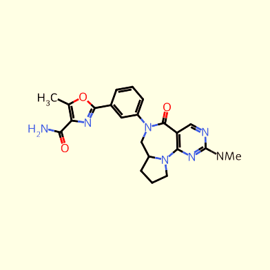 CNc1ncc2c(n1)N1CCCC1CN(c1cccc(-c3nc(C(N)=O)c(C)o3)c1)C2=O